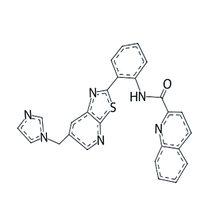 O=C(Nc1ccccc1-c1nc2cc(Cn3ccnc3)cnc2s1)c1ccc2ccccc2n1